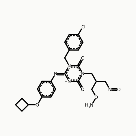 NOCC(CN=O)Cn1c(=O)[nH]/c(=N\c2ccc(OC3CCC3)cc2)n(Cc2ccc(Cl)cc2)c1=O